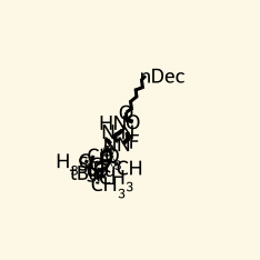 C#C[C@]1(CO[Si](C)(C)C(C)(C)C)O[C@@H](n2cnc3c(NC(=O)OCCCCCCCCCCCCCCCC)nc(F)nc32)CC1O[Si](C)(C)C(C)(C)C